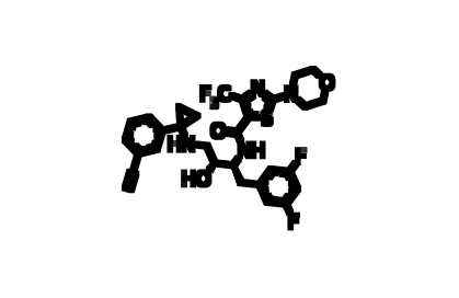 C#Cc1cccc(C2(NC[C@H](O)[C@H](Cc3cc(F)cc(F)c3)NC(=O)c3sc(N4CCOCC4)nc3C(F)(F)F)CC2)c1